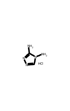 Cl.Nc1nncn1N